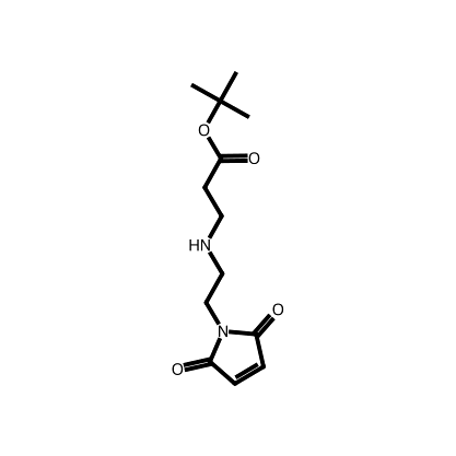 CC(C)(C)OC(=O)CCNCCN1C(=O)C=CC1=O